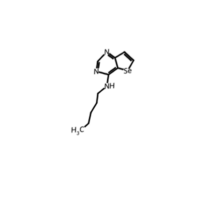 CCCCCNc1ncnc2cc[se]c12